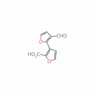 O=Cc1ccoc1-c1ccoc1C(=O)O